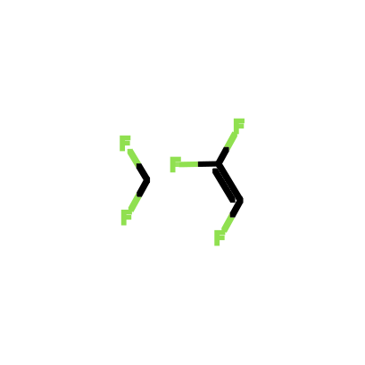 FC=C(F)F.FCF